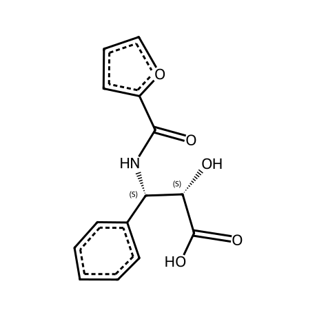 O=C(N[C@@H](c1ccccc1)[C@H](O)C(=O)O)c1ccco1